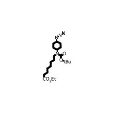 CCOC(=O)CCCCCCCN(C(=O)OC(C)(C)C)[C@H]1CC[C@@H](N=[N+]=[N-])CC1